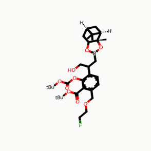 CC(C)(C)OC(=O)Oc1c(C(CO)CB2OC3C[C@H]4C[C@H](C4(C)C)[C@]3(C)O2)ccc(COCCF)c1C(=O)OC(C)(C)C